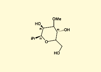 COC1[C@H](O)C(CO)O[C@@H](C(C)C)[C@H]1O